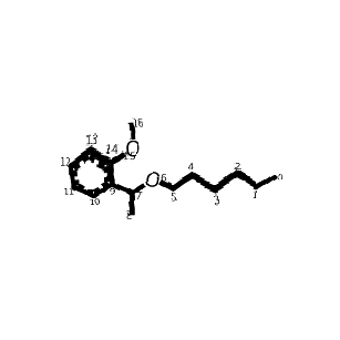 CCCCCCOC(C)c1ccccc1OC